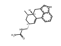 CN1C[C@@H](CNC(N)=O)C=C2c3cccc4[nH]cc(c34)C[C@H]21